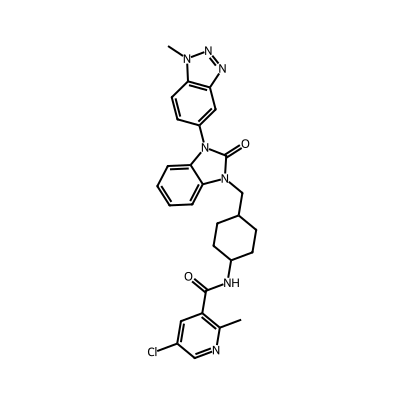 Cc1ncc(Cl)cc1C(=O)NC1CCC(Cn2c(=O)n(-c3ccc4c(c3)nnn4C)c3ccccc32)CC1